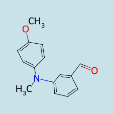 COc1ccc(N(C)c2cccc(C=O)c2)cc1